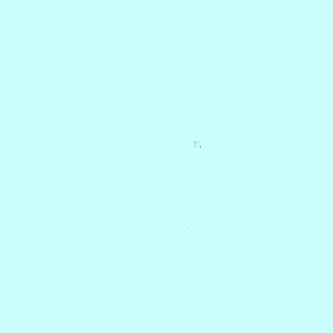 COc1cccc2c1CC(NC(=O)OC1CC3CCC1(C)C3(C)C)CC2